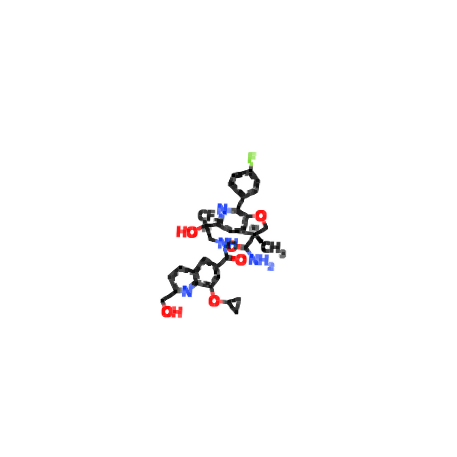 C[C@]1(C(N)=O)COc2c1cc([C@@](O)(CNC(=O)c1cc(OC3CC3)c3nc(CO)ccc3c1)C(F)(F)F)nc2-c1ccc(F)cc1